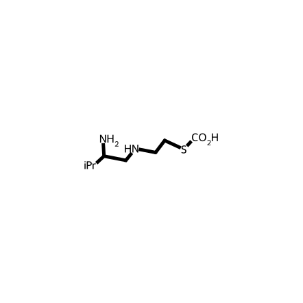 CC(C)C(N)CNCCSC(=O)O